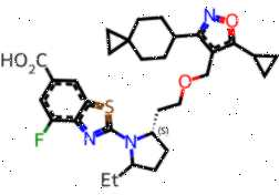 CCC1CC[C@@H](CCOCc2c(C3CCC4(CC3)CC4)noc2C2CC2)N1c1nc2c(F)cc(C(=O)O)cc2s1